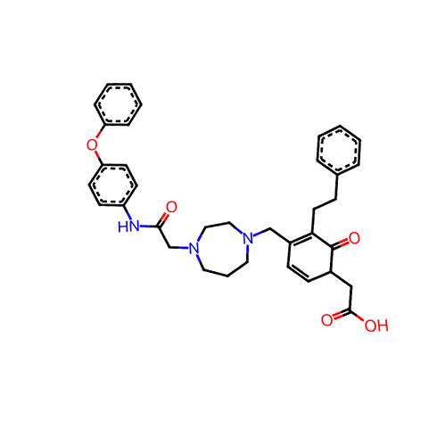 O=C(O)CC1C=CC(CN2CCCN(CC(=O)Nc3ccc(Oc4ccccc4)cc3)CC2)=C(CCc2ccccc2)C1=O